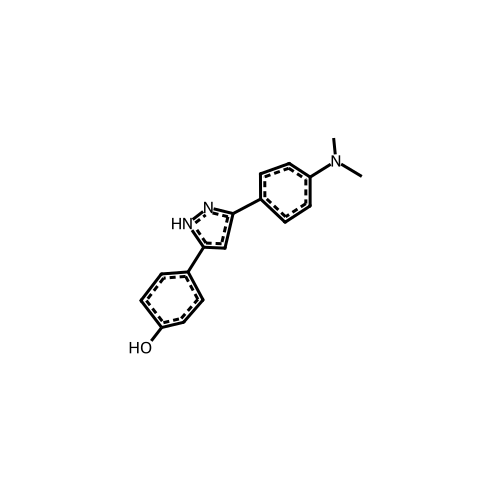 CN(C)c1ccc(-c2cc(-c3ccc(O)cc3)[nH]n2)cc1